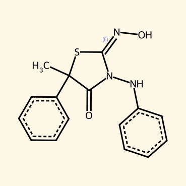 CC1(c2ccccc2)S/C(=N/O)N(Nc2ccccc2)C1=O